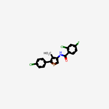 O=C(Nc1csc(-c2ccc(Cl)cc2)c1C(=O)O)c1ccc(F)cc1Cl